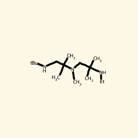 CCNC(C)(C)CN(C)C(C)(C)CNC(C)(C)C